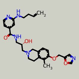 C=CCCNc1cc(C(=O)NC[C@H](O)CN2CCc3c(ccc(OCc4cnco4)c3C)C2)ccn1